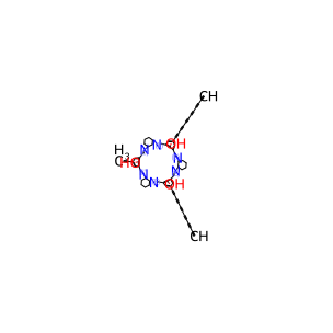 C#CC#CC#CC#CC#CC#Cc1cc2c(O)c(c1)/C=N/C1CCCCC1/N=C/c1cc(C#CC#CC#CC#CC#CC#C)cc(c1O)/C=N/C1CCCCC1/N=C/c1cc(C#CC)cc(c1O)/C=N/C1CCCCC1/N=C/2